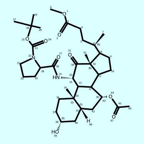 COC(=O)CC[C@@H](C)C1CCC2C3C([C@H](NC(=O)C4CCCN4C(=O)OC(C)(C)C)C(=O)[C@@]21C)[C@@]1(C)CC[C@@H](O)C[C@H]1C[C@H]3OC(C)=O